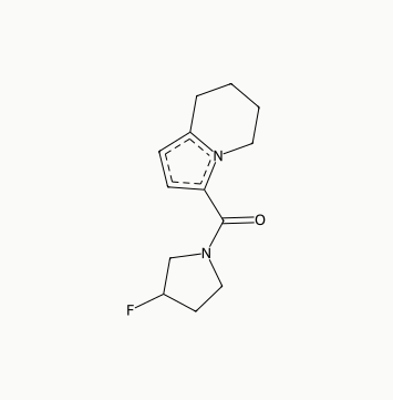 O=C(c1ccc2n1CCCC2)N1CCC(F)C1